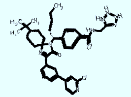 CCCC[C@H](c1ccc(C(=O)NCC2=NNNN2)cc1)N1C(=O)C(c2cccc(-c3ccnc(Cl)c3)c2)=NC12CCC(C(C)(C)C)CC2